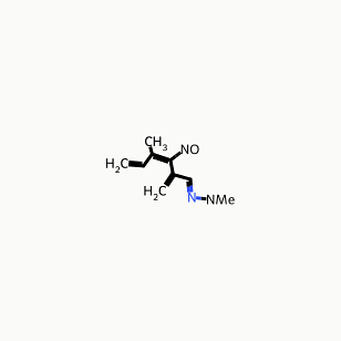 C=C/C(C)=C(/N=O)C(=C)/C=N/NC